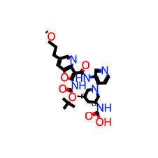 COCCCc1cnc2c(C(=O)Nc3cnccc3N3C[C@H](C)C[C@H](NC(=O)O)C3)c(NC(=O)OC(C)(C)C)oc2c1